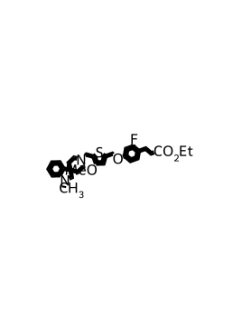 CCOC(=O)CCc1ccc(OCc2cc(OC)c(CN3CCC4(CC3)CN(C)c3ccccc34)s2)cc1F